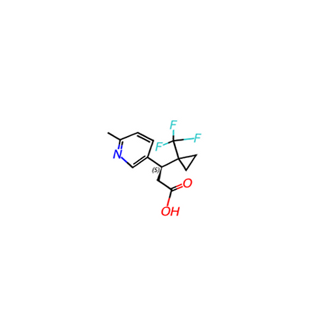 Cc1ccc([C@H](CC(=O)O)C2(C(F)(F)F)CC2)cn1